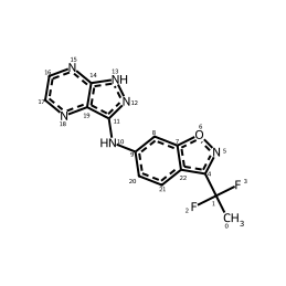 CC(F)(F)c1noc2cc(Nc3n[nH]c4nccnc34)ccc12